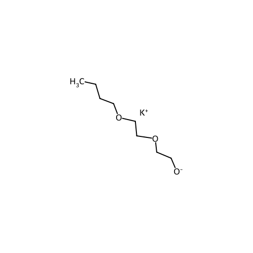 CCCCOCCOCC[O-].[K+]